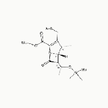 CC(=O)OCC1=C(C(=O)OC(C)(C)C)N2C(=O)[C@H]([C@@H](C)O[Si](C)(C)C(C)(C)C)[C@H]2[C@H]1C